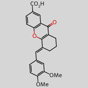 COc1ccc(C=C2CCCc3c2oc2ccc(C(=O)O)cc2c3=O)cc1OC